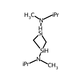 CC(C)N(C)[SiH]1C[SiH](N(C)C(C)C)C1